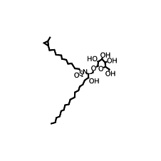 CCCCCCCCCCCCCCC[C@@H](O)[C@H](COC1OC(CO)C(O)C(O)C1O)N=S(C)(=O)CCCCCCCCCCC1CC1C